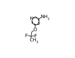 CC(F)(F)COc1cncc(N)c1